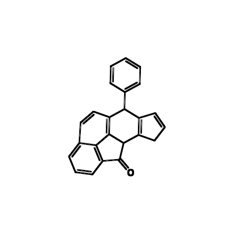 O=C1c2cccc3ccc4c(c23)C1C1=C(C=CC1)C4c1ccccc1